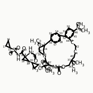 CO[C@@]12C[C@@H](C(=O)N[C@]3(C(=O)NS(=O)(=O)C4CC4)C[C@H]3C3CC3)N(C1)C(=O)[C@H](C(C)(C)C)NC(=O)OCC(C)(C)CCCCc1cc(N(C)C)ccc1-c1ccc2cc1